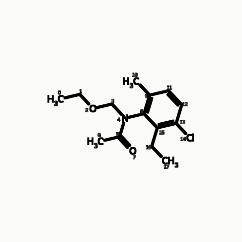 CCOCN(C(C)=O)c1c(C)ccc(Cl)c1CC